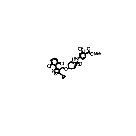 COC(=O)c1ccc(NC(=O)N2C3C[C@H](OCc4c(-c5c(Cl)cccc5Cl)noc4C4CC4)CC2[C@H](C)C3)cc1C(F)(F)F